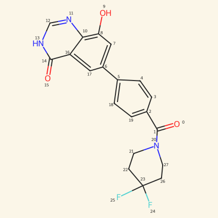 O=C(c1ccc(-c2cc(O)c3nc[nH]c(=O)c3c2)cc1)N1CCC(F)(F)CC1